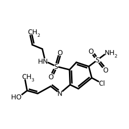 C=CCNS(=O)(=O)c1cc(S(N)(=O)=O)c(Cl)cc1/N=C/C=C(\C)O